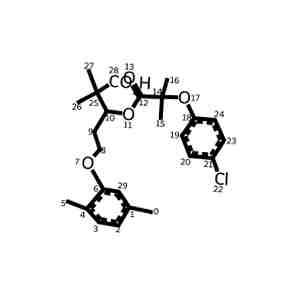 Cc1ccc(C)c(OCCC(OC(=O)C(C)(C)Oc2ccc(Cl)cc2)C(C)(C)C(=O)O)c1